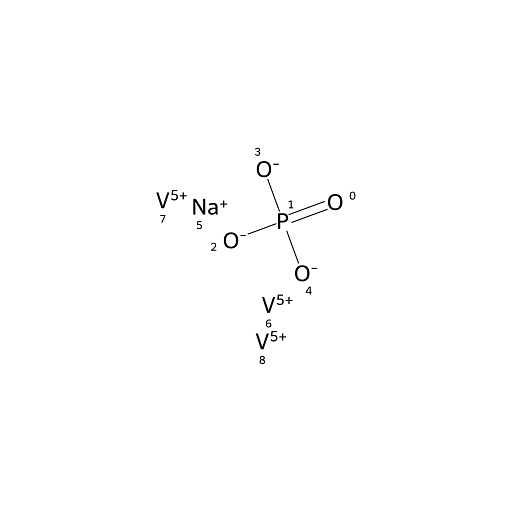 O=P([O-])([O-])[O-].[Na+].[V+5].[V+5].[V+5]